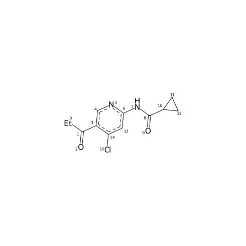 CCC(=O)c1cnc(NC(=O)C2CC2)cc1Cl